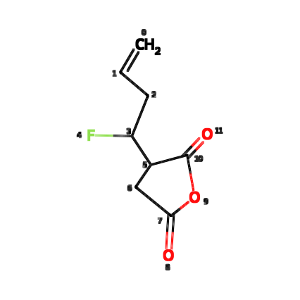 C=CCC(F)C1CC(=O)OC1=O